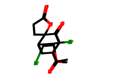 COC1=C(Br)C2CC(C(C)=O)C1(Br)C(=O)C21CCC(=O)O1